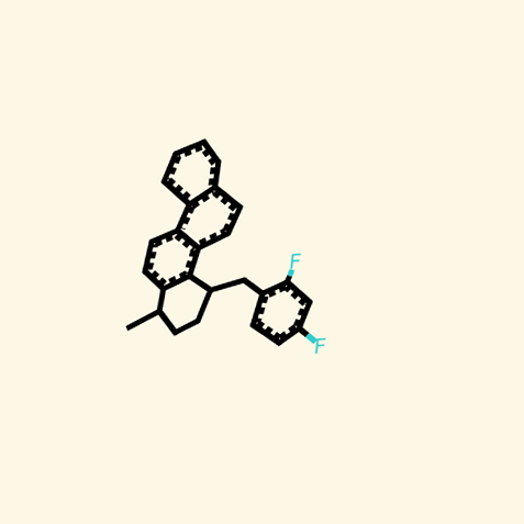 CC1CCC(Cc2ccc(F)cc2F)c2c1ccc1c2ccc2ccccc21